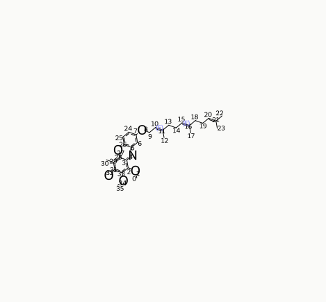 COc1c2nc3cc(OC/C=C(\C)CC/C=C(\C)CCC=C(C)C)ccc3oc-2c(C)c(=O)c1OC